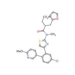 COc1ccc(-c2ccc(Cl)cc2-c2csc(N(C)C(=O)C(CC(=O)O)Cc3ccco3)n2)cn1